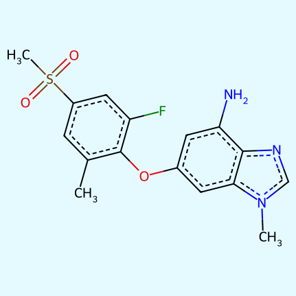 Cc1cc(S(C)(=O)=O)cc(F)c1Oc1cc(N)c2ncn(C)c2c1